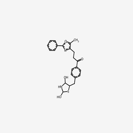 Cc1oc(-c2ccccc2)nc1CCC(=O)c1ccc(CC2SC(O)NC2O)cc1